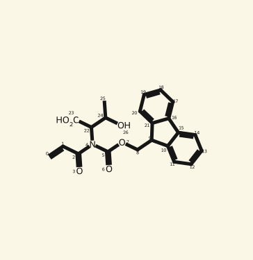 C=CC(=O)N(C(=O)OCC1c2ccccc2-c2ccccc21)C(C(=O)O)C(C)O